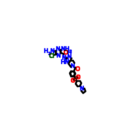 Nc1nc(N)c(C(=O)/N=C2\NCC3(CCN(C(=O)c4cccc(S(=O)(=O)C5CCC(N6CCCC6)CC5)c4)CC3)N2)nc1Cl